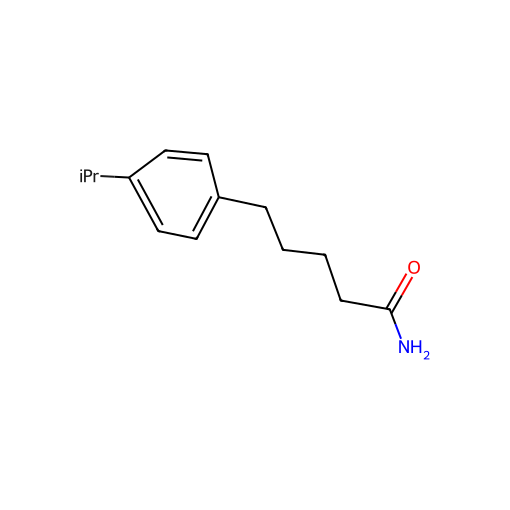 CC(C)c1ccc(CCCCC(N)=O)cc1